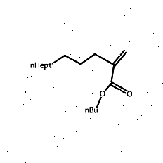 C=C(CCCCCCCCCC)C(=O)OCCCC